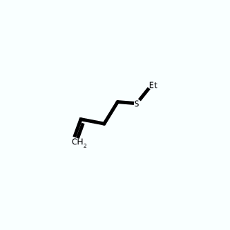 [CH2]CSCCC=C